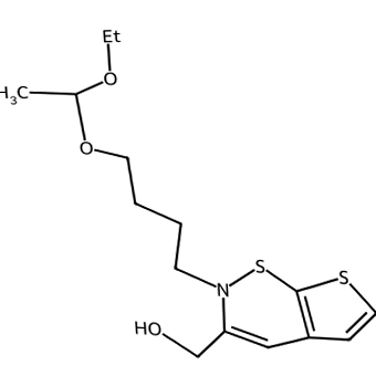 CCOC(C)OCCCCN1Sc2sccc2C=C1CO